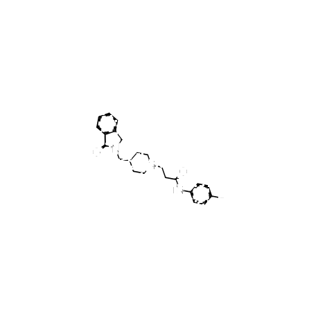 O=C(CCN1CCC(CN2Cc3ccccc3C2=O)CC1)Nc1ccc(F)cc1